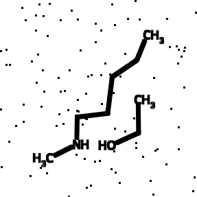 CCCCCNC.CCO